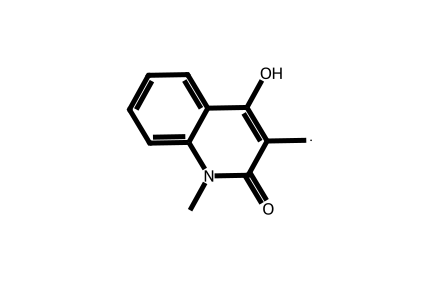 [CH2]c1c(O)c2ccccc2n(C)c1=O